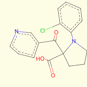 O=C(O)C1(C(=O)c2cccnc2)CCCN1c1ccccc1Cl